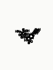 O=C1NS(=O)(=O)c2ccccc21.O=P(O)(O)OP(=O)(O)O.[NaH].[NaH].[NaH].[NaH].[NaH]